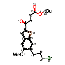 COc1cc2cc(C(=O)CCC(=O)OC(C)(C)C)sc2cc1CCCBr